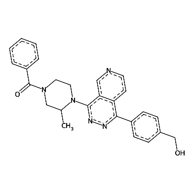 CC1CN(C(=O)c2ccccc2)CCN1c1nnc(-c2ccc(CO)cc2)c2ccncc12